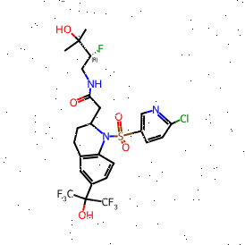 CC(C)(O)[C@H](F)CNC(=O)CC1CCc2cc(C(O)(C(F)(F)F)C(F)(F)F)ccc2N1S(=O)(=O)c1ccc(Cl)nc1